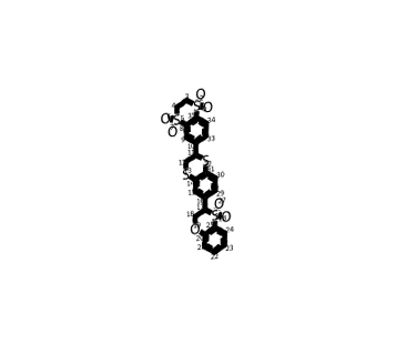 O=S1(=O)CCS(=O)(=O)c2cc(C3CSc4cc(C5COc6ccccc6S5(=O)=O)ccc4S3)ccc21